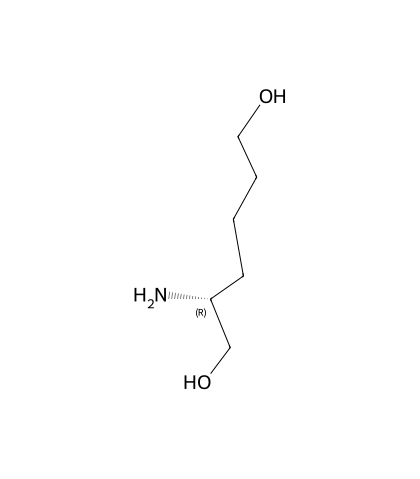 N[C@@H](CO)CCCCO